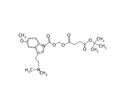 COc1ccc2c(c1)c(CCN(C)C)cn2C(=O)OCOC(=O)CCC(=O)OC(C)(C)C